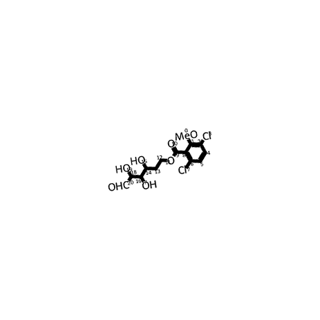 COc1c(Cl)ccc(Cl)c1C(=O)OCCC(O)C(O)C(O)C=O